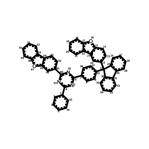 c1ccc(-c2nc(-c3ccc(C4(c5ccc6oc7ccccc7c6c5)c5ccccc5-c5ccccc54)cc3)nc(-c3ccc4c(c3)oc3ccccc34)n2)cc1